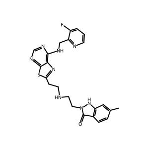 Cc1ccc2c(=O)n(CCNCCc3nc4c(NCc5ncccc5F)ncnc4s3)[nH]c2c1